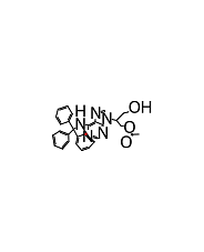 CC(=O)OCC(CCO)n1cnc2c(NC(c3ccccc3)(c3ccccc3)c3ccccc3)ncnc21